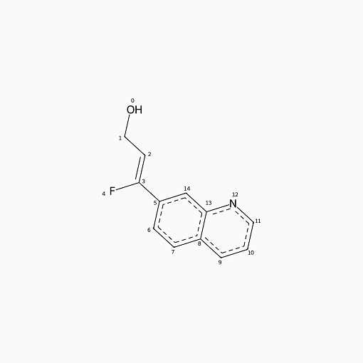 OCC=C(F)c1ccc2cccnc2c1